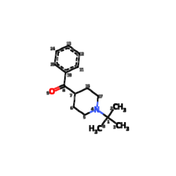 CC(C)(C)N1CCC(C(=O)c2ccccc2)CC1